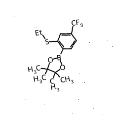 CCSc1cc(C(F)(F)F)ccc1B1OC(C)(C)C(C)(C)O1